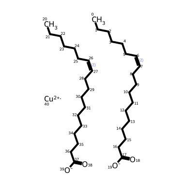 CCCCCC/C=C\CCCCCCCCCC(=O)[O-].CCCCCC/C=C\CCCCCCCCCC(=O)[O-].[Cu+2]